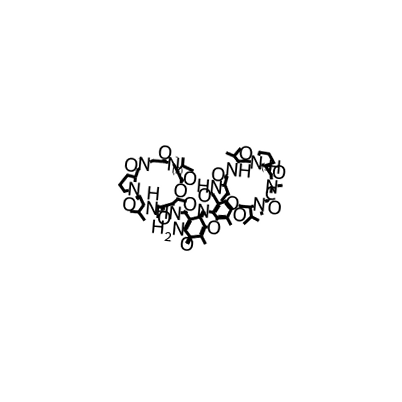 Cc1c2oc3c(C)ccc(C(=O)NC4C(=O)NC(C(C)C)C(=O)N5CCC[C@H]5C(=O)N(C)CC(=O)N(C)C(C(C)C)C(=O)OC4C)c3nc-2c(C(=O)NC2C(=O)NC(C(C)C)C(=O)N3CCCC3C(=O)N(C)CC(=O)N(C)[C@@H](C(C)C)C(=O)OC2C)c(N)c1=O